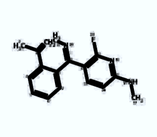 C=C(C)c1ccccc1/C(=N\C)c1ccc(NC)nc1F